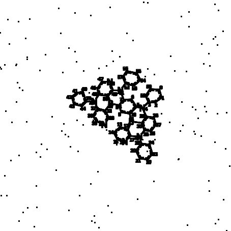 c1ccc(N2c3cc4c(cc3B3c5cccnc5N(c5ccccc5)c5cccc2c53)B2c3cnccc3N(c3ccccc3)c3ccnc(c32)N4c2ccccc2)cc1